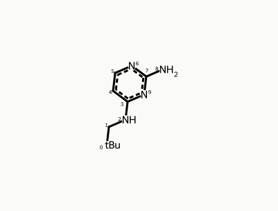 CC(C)(C)CNc1ccnc(N)n1